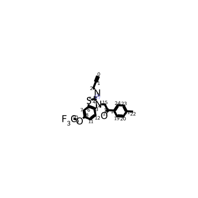 C#CC/N=c1\sc2cc(OC(F)(F)F)ccc2n1CC(=O)c1ccc(C)cc1